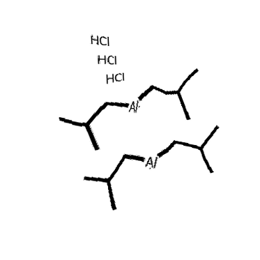 CC(C)[CH2][Al][CH2]C(C)C.CC(C)[CH2][Al][CH2]C(C)C.Cl.Cl.Cl